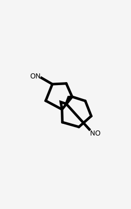 O=NC1CC23CCCCC2(C1)CC(N=O)C3